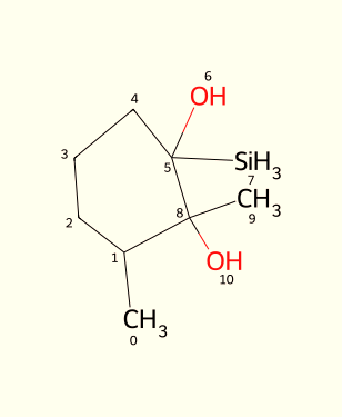 CC1CCCC(O)([SiH3])C1(C)O